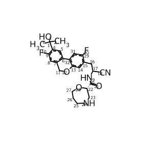 CC(C)(O)c1cc2c(cc1F)COc1cc(CC(C#N)NC(=O)[C@@H]3CNCCCO3)c(F)cc1-2